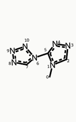 Cn1cnnc1-n1cnnn1